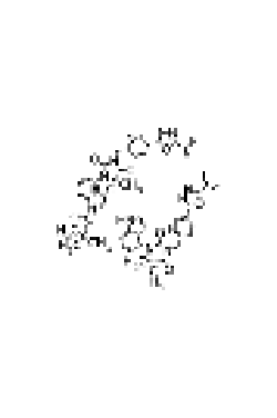 CC(C)(C)OC(=O)n1ccc2c(N3C(=O)N(Cc4ccc(-c5nnc(C(F)F)o5)cn4)C(=O)C3(C)C)cccc21.CC1(C)C(=O)N(Cc2ccc(-c3nnc(C(F)F)o3)cn2)C(=O)N1c1cccc2[nH]ccc12